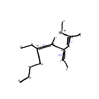 C/C=C(\C=C(\C)NC)C(/C)=C(/CC)CCCC